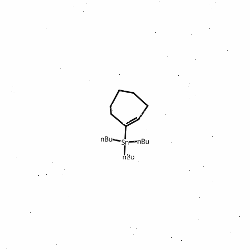 CCC[CH2][Sn]([CH2]CCC)([CH2]CCC)[C]1=CCCCCC1